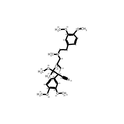 COc1ccc(CCN(C)CCC[C@](C#N)(c2ccc(OC)c(OC)c2)C(C)(C)OC)cc1OC